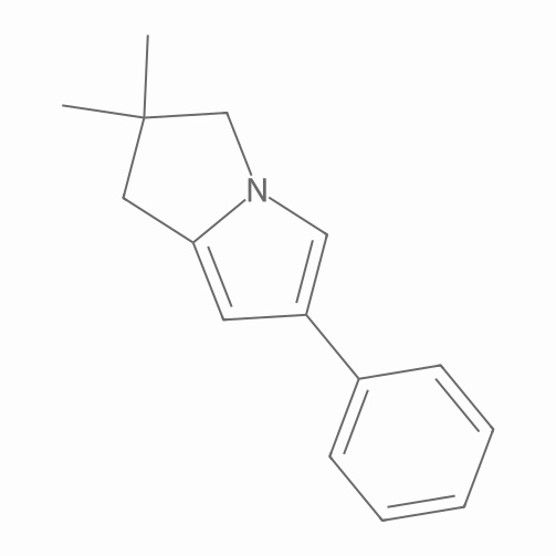 CC1(C)Cc2cc(-c3ccccc3)cn2C1